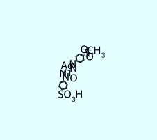 CC(=O)C1=NN(c2ccc(S(=O)(=O)O)cc2)C(=O)C1/N=N/c1ccc(S(C)(=O)=O)cc1